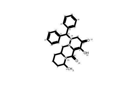 CC1CCCC2CN3C(=C(O)C(=O)CN3C(c3ccccc3)c3ccccc3)C(=O)N12